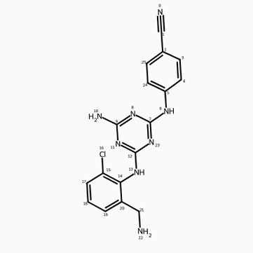 N#Cc1ccc(Nc2nc(N)nc(Nc3c(Cl)cccc3CN)n2)cc1